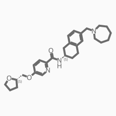 O=C(N[C@H]1CCc2cc(CN3CCCCCC3)ccc2C1)c1ccc(OC[C@@H]2CCCO2)cn1